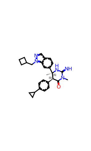 CN1C(=N)N[C@](C)(c2ccc3cnn(CC4CCC4)c3c2)[C@H](c2ccc(C3CC3)cc2)C1=O